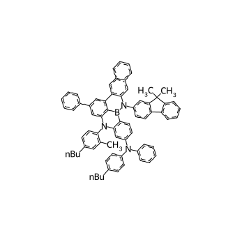 CCCCc1ccc(N(c2ccccc2)c2ccc3c(c2)N(c2ccc(CCCC)cc2C)c2cc(-c4ccccc4)cc4c2B3N(c2ccc3c(c2)C(C)(C)c2ccccc2-3)c2cc3ccccc3cc2-4)cc1